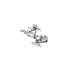 Cc1cc(C)c(CCCCCC2(C(=O)O)CC2Cc2cc(C)c(C)c(CCCCCC3(C(=O)O)CC3)c2CCCCC(C)(C)C(=O)O)c(CCCCC(C)(C)C(=O)O)c1C